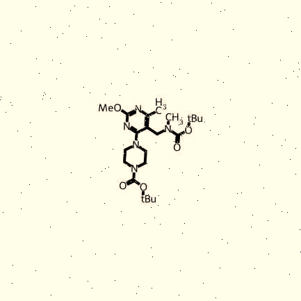 COc1nc(C)c(CN(C)C(=O)OC(C)(C)C)c(N2CCN(C(=O)OC(C)(C)C)CC2)n1